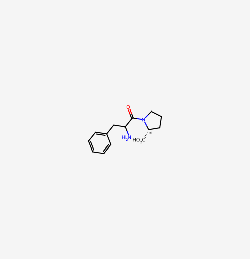 NC(Cc1ccccc1)C(=O)N1CCC[C@@H]1C(=O)O